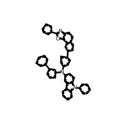 c1ccc(-c2cccc(N(c3ccc(-c4ccc5ccc6nc(-c7ccccc7)oc6c5c4)cc3)c3ccc4c(c3)c3ccccc3n4-c3ccccc3)c2)cc1